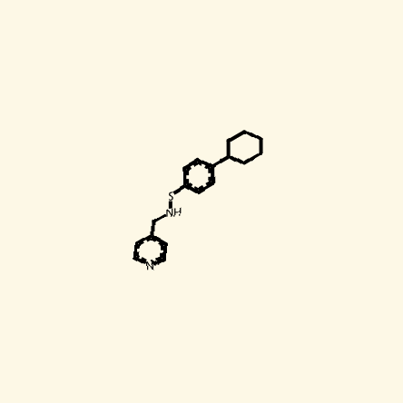 c1cc(CNSc2ccc(C3CCCCC3)cc2)ccn1